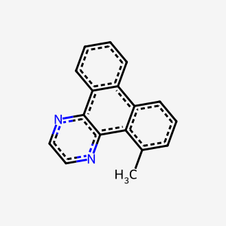 Cc1cccc2c3ccccc3c3nccnc3c12